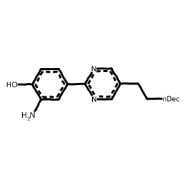 CCCCCCCCCCCCc1cnc(-c2ccc(O)c(N)c2)nc1